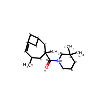 CC1C=C2CC(C2)CC(C)(C(=O)N2CCCC(C)(C)C2)C1